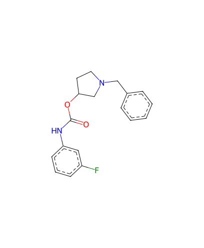 O=C(Nc1cccc(F)c1)OC1CCN(Cc2ccccc2)C1